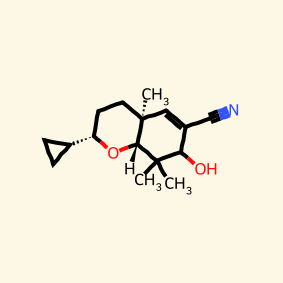 CC1(C)C(O)C(C#N)=C[C@]2(C)CC[C@@H](C3CC3)O[C@@H]12